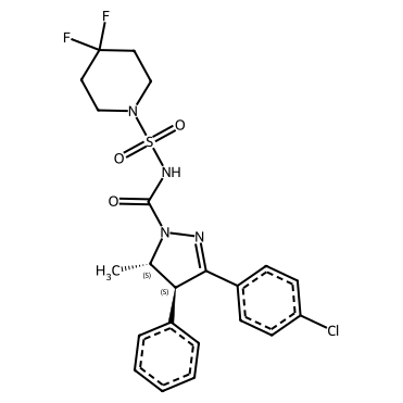 C[C@H]1[C@H](c2ccccc2)C(c2ccc(Cl)cc2)=NN1C(=O)NS(=O)(=O)N1CCC(F)(F)CC1